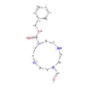 O=CN1CCNCCN(C(=O)OCc2ccccc2)CCNCC1